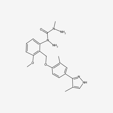 COc1cccc(N(N)C(=O)N(C)N)c1COc1ccc(-c2n[nH]cc2C)cc1C